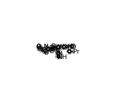 CC(C)c1ccccc1[C@@H]1COCCN1C1CC2(CCN(c3ccc(C(=O)NS(=O)(=O)c4cc5c(c([N+](=O)[O-])c4)O[C@@H](CN4CCOCC4)CO5)c(Oc4cnc5[nH]ccc5c4)c3)CC2)C1